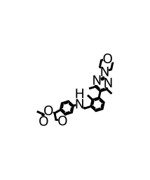 CC(=O)O[C@@H]1COc2cc(NCc3cccc(-c4c(C)nc(N5CCOCC5)nc4C)c3C)ccc21